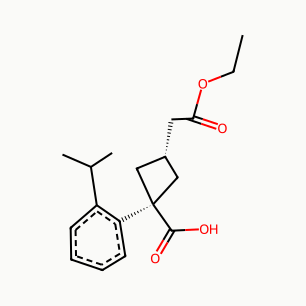 CCOC(=O)C[C@H]1C[C@@](C(=O)O)(c2ccccc2C(C)C)C1